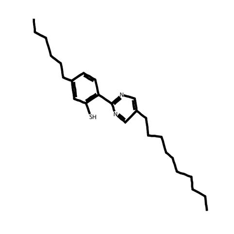 CCCCCCCCCCc1cnc(-c2ccc(CCCCCC)cc2S)nc1